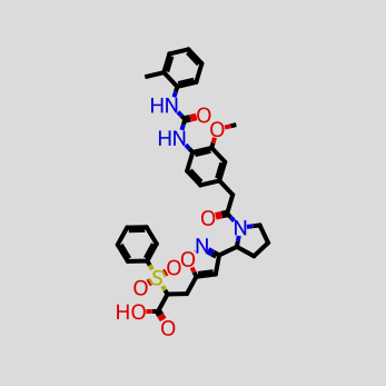 COc1cc(CC(=O)N2CCCC2c2cc(CC(C(=O)O)S(=O)(=O)c3ccccc3)on2)ccc1NC(=O)Nc1ccccc1C